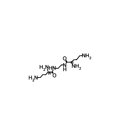 NCCC[C@@H](N)C(=O)NCCNC(=O)[C@H](N)CCCN